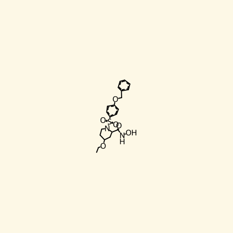 CCOC1CCN(S(=O)(=O)c2ccc(OCc3ccccc3)cc2)C(C(=O)NO)C1